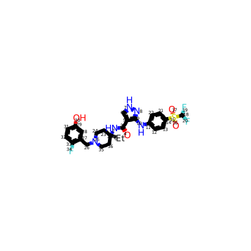 CCC1(NC(=O)c2c[nH]nc2Nc2ccc(S(=O)(=O)C(F)F)cc2)CCN(Cc2cc(O)ccc2F)CC1